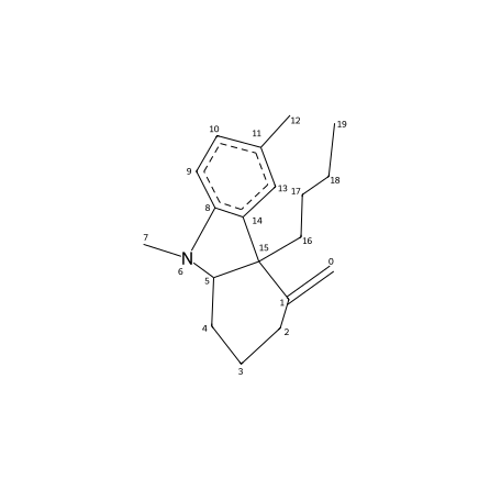 C=C1CCCC2N(C)c3ccc(C)cc3C12CCCC